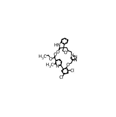 CCOC(=O)c1ccc(-c2cc(Cl)cc(Cl)c2OCc2cn(CC3CC4(CO3)C(=O)Nc3ccccc34)nn2)nc1C